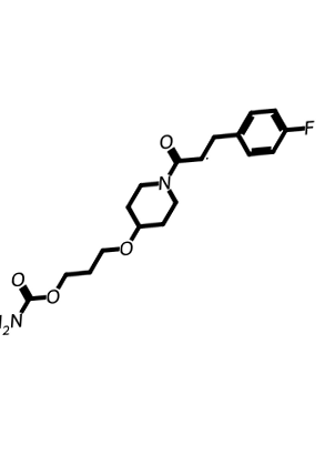 NC(=O)OCCCOC1CCN(C(=O)[CH]Cc2ccc(F)cc2)CC1